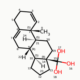 C[C@]12C=CCCC1=CC[C@H]1[C@@H]3CCC[C@@]3(C(O)(O)O)CC[C@@H]12